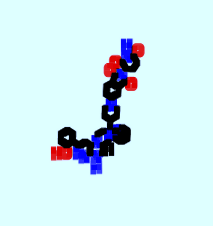 O=C1CCC(N2C(=O)c3ccc(N4CCC(CN5CC6CC(C5)C6CN5CCN6c7cc(-c8ccccc8O)nnc7NC[C@H]6C5)CC4)cc3C2=O)C(=O)N1